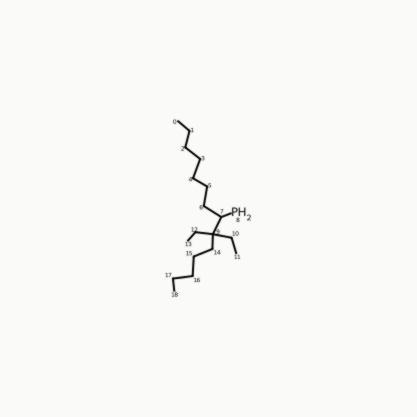 CCCCCCCC(P)C(CC)(CC)CCCCC